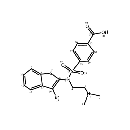 CN(C)CCN(c1sc2ccccc2c1Br)S(=O)(=O)c1ccc(C(=O)O)cc1